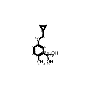 Cc1ccc(OCC2CC2)cc1B(O)O